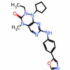 CCN1C(=O)N(C)c2cnc(Nc3ccc(-c4cnco4)cc3)nc2N1C1CCCC1